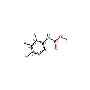 COC(=O)Nc1ccc(C)c(C)c1C